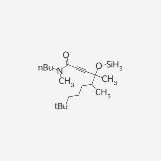 CCCCN(C)C(=O)C#CC(C)(O[SiH3])C(C)CCCC(C)(C)C